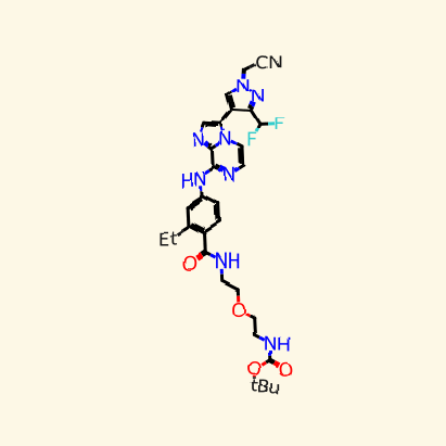 CCc1cc(Nc2nccn3c(-c4cn(CC#N)nc4C(F)F)cnc23)ccc1C(=O)NCCOCCNC(=O)OC(C)(C)C